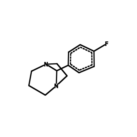 Fc1ccc(C2N3CCCN2CC3)cc1